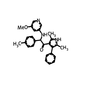 COc1cncc(NC(C(=O)c2c(C)[nH]c(C)c2-c2ccccc2)c2ccc(C)cc2)c1